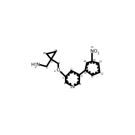 NCC1(COc2cncc(-c3cccc([N+](=O)[O-])c3)c2)CC1